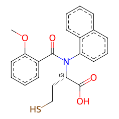 COc1ccccc1C(=O)N(c1cccc2ccccc12)[C@@H](CCS)C(=O)O